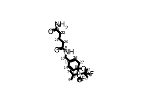 CC(C)P(=O)(C(C)C)C1(OC(F)F)C=CC(CNC(=O)CCCC(N)=O)=CC1